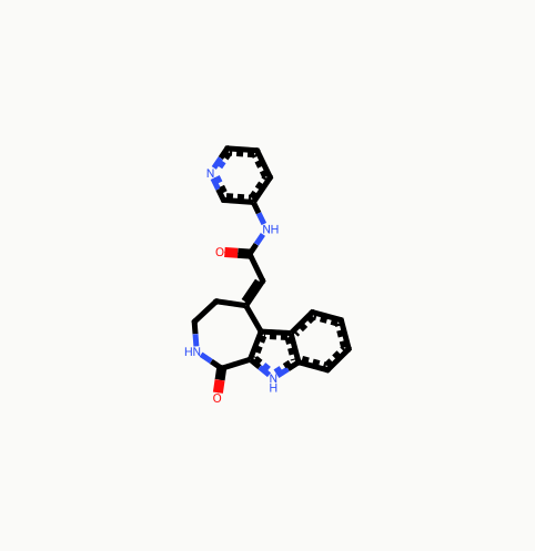 O=C(C=C1CCNC(=O)c2[nH]c3ccccc3c21)Nc1cccnc1